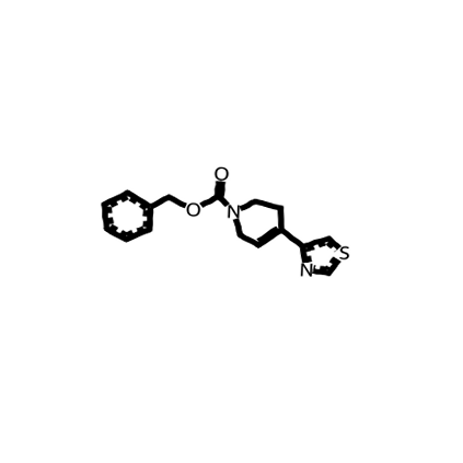 O=C(OCc1ccccc1)N1CC=C(c2cscn2)CC1